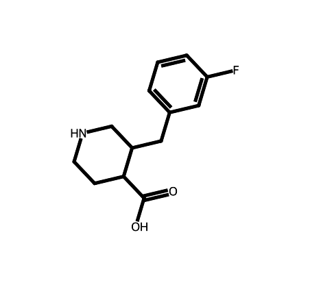 O=C(O)C1CCNCC1Cc1cccc(F)c1